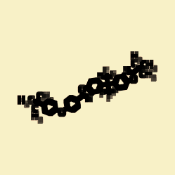 CC(C)(C)c1ccc(Oc2ccc(-c3nc4cc(C(c5ccc6oc(C(C)(C)C)nc6c5)(C(F)(F)F)C(F)(F)F)ccc4o3)cc2)cc1